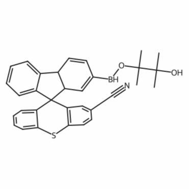 CC(C)(O)C(C)(C)OBC1=CC2C(C=C1)c1ccccc1C21c2ccccc2Sc2ccc(C#N)cc21